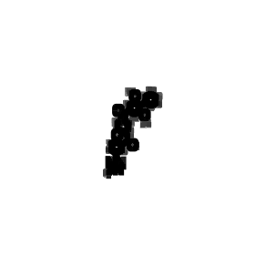 [CH2]n1nnc(-c2ccc3c(c2)C(=O)CC2(CCN(C(=O)c4cc(OC)c(-c5ccccc5)c(OC)c4)CC2)O3)n1